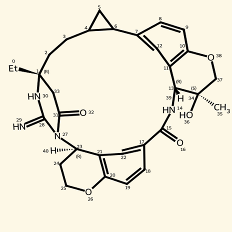 CC[C@]12CCC3CC3c3ccc4c(c3)[C@@H](NC(=O)c3ccc5c(c3)[C@@H](CCO5)N(C(=N)N1)C(=O)C2)[C@](C)(O)CO4